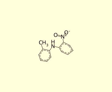 Cc1ccccc1Nc1ccccc1[N+](=O)[O-]